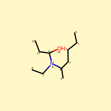 CCCCC(C)N(CC)C(O)CC